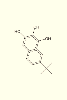 CC(C)(C)c1ccc2cc(O)c(O)c(O)c2c1